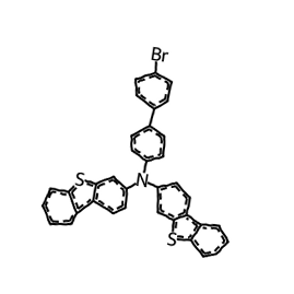 Brc1ccc(-c2ccc(N(c3ccc4c(c3)sc3ccccc34)c3ccc4c(c3)sc3ccccc34)cc2)cc1